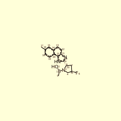 CB(O)N1C[C@H](F)C[C@H]1c1nc2ccc3cc(C)ccc3c2[nH]1